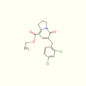 CCOC(=O)c1cc(Cc2ccc(Cl)cc2Cl)c(=O)n2c1CCC2